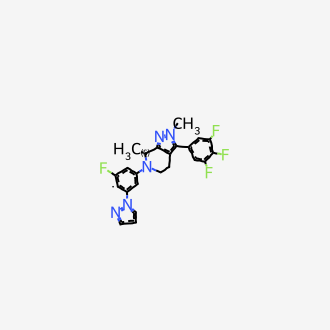 C[C@H]1c2nn(C)c(-c3cc(F)c(F)c(F)c3)c2CCN1c1cc(F)[c]c(-n2cccn2)c1